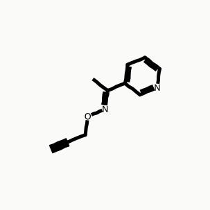 C#CCON=C(C)c1cccnc1